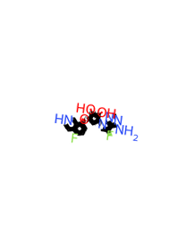 Nc1ncnc2c1c(F)cn2[C@@H]1C[C@H](Oc2ccc(F)c3c2CNCC3)[C@@H](O)[C@H]1O